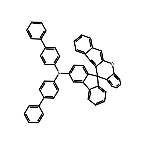 c1ccc(-c2ccc(N(c3ccc(-c4ccccc4)cc3)c3ccc4c(c3)-c3ccccc3C43c4ccccc4Oc4cc5ccccc5cc43)cc2)cc1